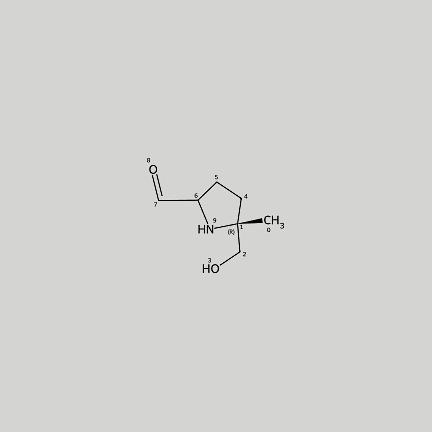 C[C@]1(CO)CCC(C=O)N1